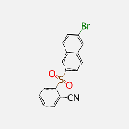 N#Cc1ccccc1S(=O)(=O)c1ccc2cc(Br)ccc2c1